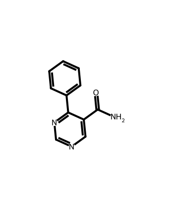 NC(=O)c1cncnc1-c1ccccc1